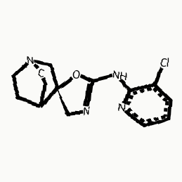 Clc1cccnc1NC1=NC[C@@]2(CN3CCC2CC3)O1